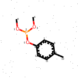 COP(OC)Oc1ccc(C)cc1